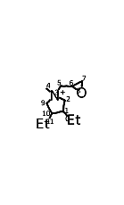 CCC1C[N+](C)(CC2CO2)CC1CC